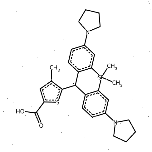 Cc1cc(C(=O)O)sc1C1c2ccc(N3CCCC3)cc2[Si](C)(C)c2cc(N3CCCC3)ccc21